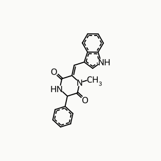 CN1C(=O)C(c2ccccc2)NC(=O)/C1=C/c1c[nH]c2ccccc12